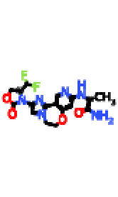 C[C@H](Nc1cc2c(cn1)-c1nc(N3C(=O)OC[C@H]3C(F)F)cn1CCO2)C(N)=O